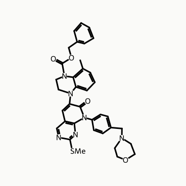 CSc1ncc2cc(N3CCN(C(=O)OCc4ccccc4)c4c(C)cccc43)c(=O)n(-c3ccc(CN4CCOCC4)cc3)c2n1